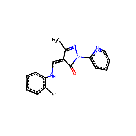 CCc1ccccc1N/C=C1\C(=O)N(c2ccccn2)N=C1C